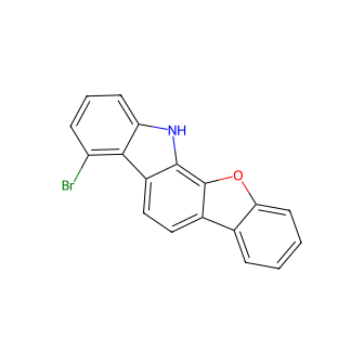 Brc1cccc2[nH]c3c(ccc4c5ccccc5oc43)c12